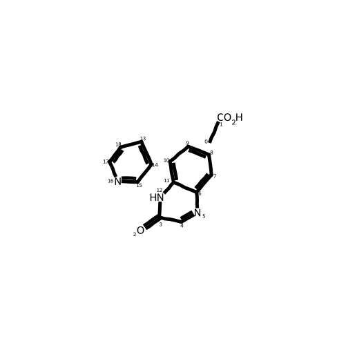 CC(=O)O.O=c1cnc2ccccc2[nH]1.c1ccncc1